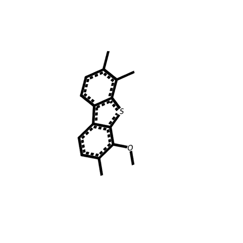 COc1c(C)ccc2c1sc1c(C)c(C)ccc12